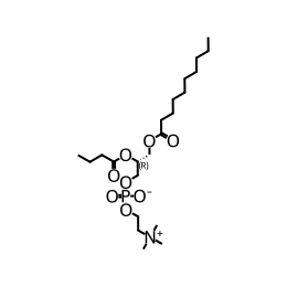 CCCCCCCCCC(=O)OC[C@H](COP(=O)([O-])OCC[N+](C)(C)C)OC(=O)CCC